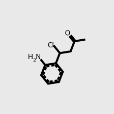 CC(=O)CC(Cl)c1ccccc1N